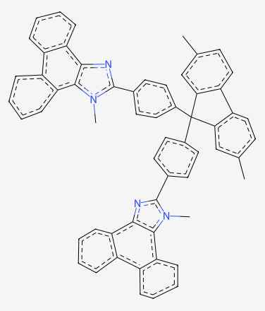 Cc1ccc2c(c1)C(c1ccc(-c3nc4c5ccccc5c5ccccc5c4n3C)cc1)(c1ccc(-c3nc4c5ccccc5c5ccccc5c4n3C)cc1)c1cc(C)ccc1-2